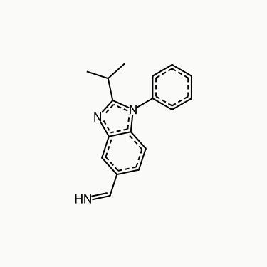 CC(C)c1nc2cc(C=N)ccc2n1-c1ccccc1